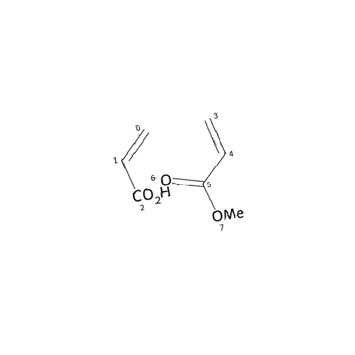 C=CC(=O)O.C=CC(=O)OC